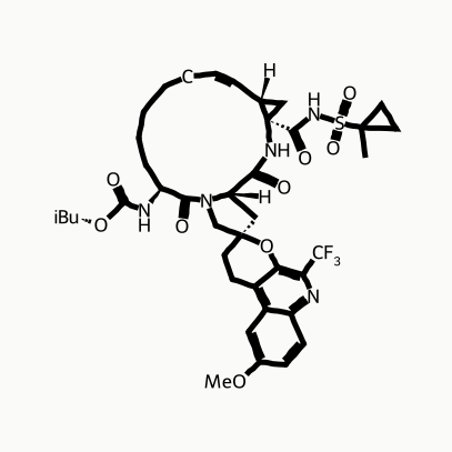 CC[C@@H](C)OC(=O)N[C@H]1CCCCC/C=C\[C@@H]2C[C@@]2(C(=O)NS(=O)(=O)C2(C)CC2)NC(=O)[C@@H]2C[C@]3(CCc4c(c(C(F)(F)F)nc5ccc(OC)cc45)O3)CN2C1=O